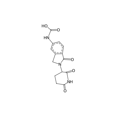 O=C(O)Nc1ccc2c(c1)CN(C1CCC(=O)NC1=O)C2=O